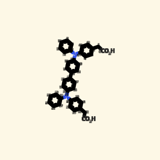 O=C(O)Cc1ccc(N(c2ccccc2)c2ccc(-c3ccc(N(c4ccccc4)c4ccc(CC(=O)O)cc4)cc3)cc2)cc1